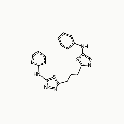 c1ccc(Nc2nnc(CCCc3nnc(Nc4ccccc4)s3)s2)cc1